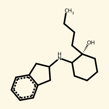 CCCC[C@@]1(O)CCCCC1NC1Cc2ccccc2C1